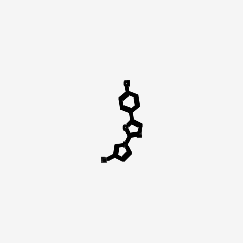 Clc1ccc(-c2cnc(-n3ccc(Br)c3)o2)cc1